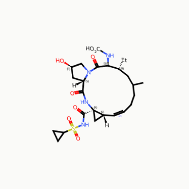 CC[C@@H]1CC(C)CC/C=C\[C@@H]2C[C@@]2(C(=O)NS(=O)(=O)C2CC2)NC(=O)[C@@H]2C[C@@H](O)CN2C(=O)[C@H]1NC(=O)O